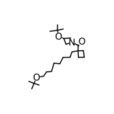 CC(C)(C)OCCCCCCCCC1(C(=O)N2CC(OC(C)(C)C)C2)CCC1